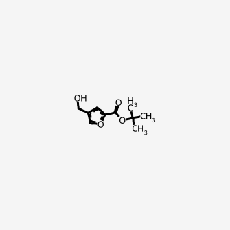 CC(C)(C)OC(=O)c1cc(CO)co1